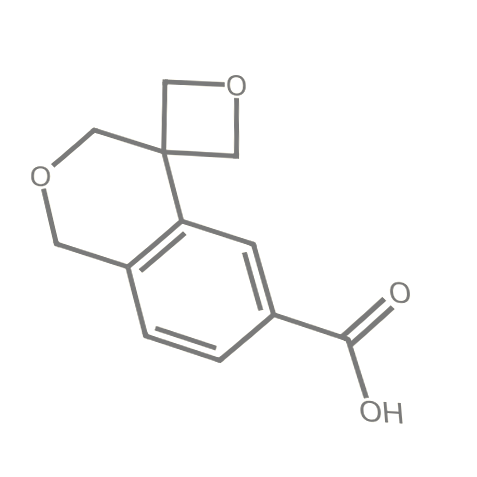 O=C(O)c1ccc2c(c1)C1(COC2)COC1